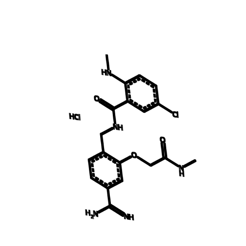 CNC(=O)COc1cc(C(=N)N)ccc1CNC(=O)c1cc(Cl)ccc1NC.Cl